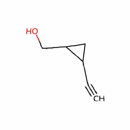 C#CC1CC1CO